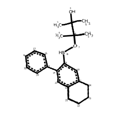 CC(C)(O)C(C)(C)OBc1cc2c(cc1-c1ccccc1)CCCC2